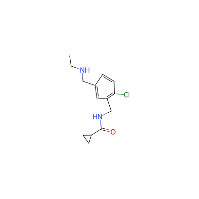 CCNCc1ccc(Cl)c(CNC(=O)C2CC2)c1